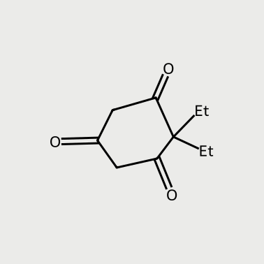 CCC1(CC)C(=O)CC(=O)CC1=O